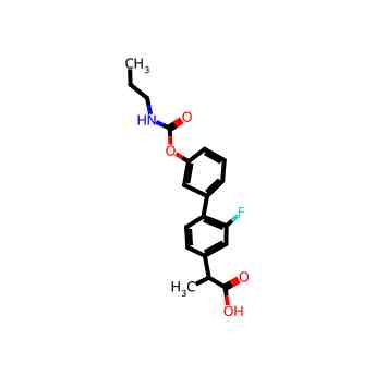 CCCNC(=O)Oc1cccc(-c2ccc(C(C)C(=O)O)cc2F)c1